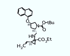 C=C[C@@H]1C[C@]1(NC[C@@H]1C[C@@H](Oc2cccc3ccccc23)CN1C(=O)OC(C)(C)C)C(=O)OCC